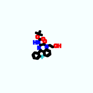 CC(C)(C)OC(=O)NC1N=C(c2ccccc2F)c2ccccc2N(CCO)C1=O